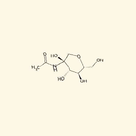 CC(=O)N[C@]1(O)[CH]O[C@H](CO)[C@@H](O)[C@@H]1O